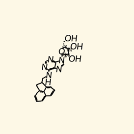 OC[C@H]1O[C@@H](n2cnc3c(NCC4Cc5cccc6cccc4c56)ncnc32)[C@H](O)[C@@H]1O